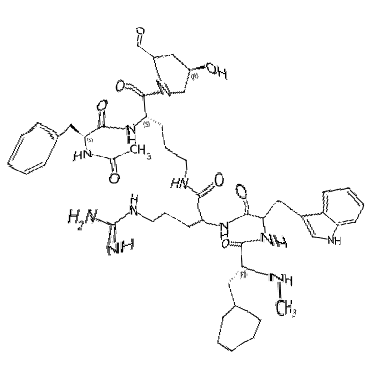 CN[C@H](CC1CCCCC1)C(=O)NC(Cc1c[nH]c2ccccc12)C(=O)NC(CCCNC(=N)N)C(=O)NCCC[C@H](NC(=O)[C@H](Cc1ccccc1)NC(C)=O)C(=O)N1C[C@H](O)CC1C=O